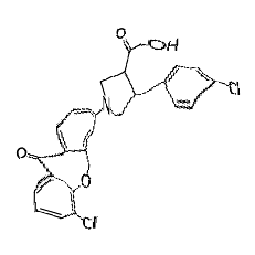 O=C(O)C1CN(c2ccc3c(=O)c4cccc(Cl)c4oc3c2)CC1c1ccc(Cl)cc1